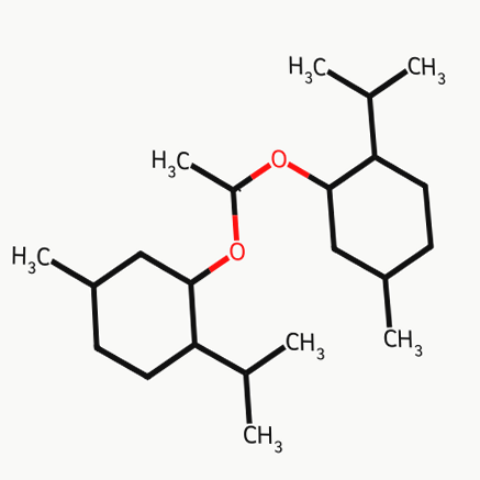 C[C](OC1CC(C)CCC1C(C)C)OC1CC(C)CCC1C(C)C